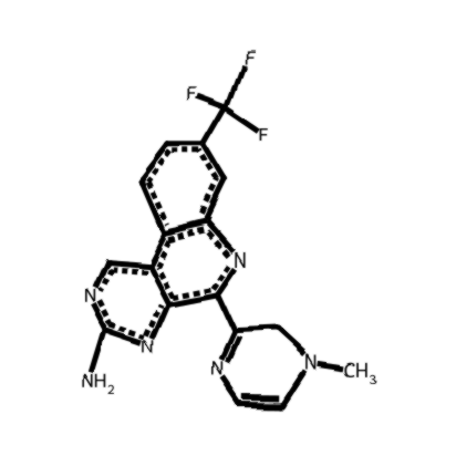 CN1C=CN=C(c2nc3cc(C(F)(F)F)ccc3c3cnc(N)nc23)C1